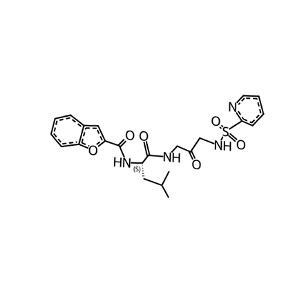 CC(C)C[C@H](NC(=O)c1cc2ccccc2o1)C(=O)NCC(=O)CNS(=O)(=O)c1ccccn1